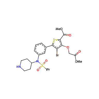 COC(=O)COc1c(C(=O)OC)sc(-c2cccc(N(C3CCNCC3)S(=O)(=O)C(C)C)c2)c1Br